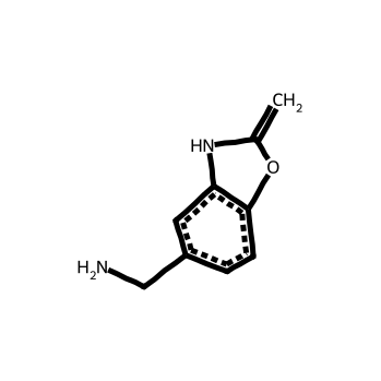 C=C1Nc2cc(CN)ccc2O1